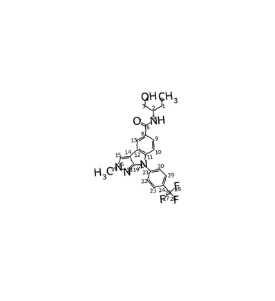 CCC(CO)NC(=O)c1ccc2c(c1)c1cn(C)nc1n2-c1ccc(C(F)(F)F)cc1